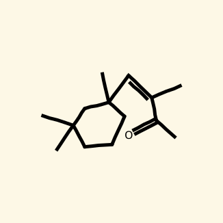 CC(=O)C(C)=CC1(C)CCCC(C)(C)C1